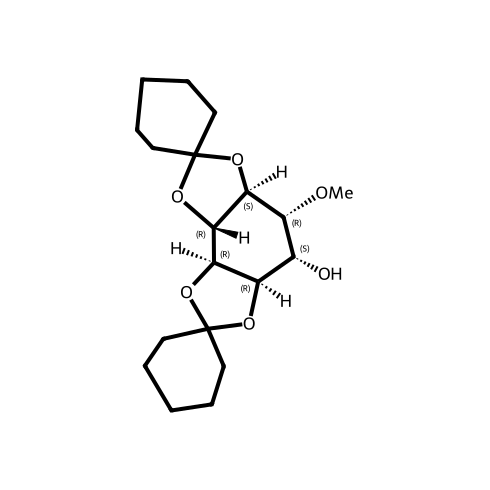 CO[C@@H]1[C@H](O)[C@H]2OC3(CCCCC3)O[C@H]2[C@@H]2OC3(CCCCC3)O[C@H]21